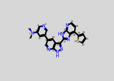 CN(C)c1cncc(-c2cnc3[nH]nc(-c4nc5c(-c6cccs6)ccnc5[nH]4)c3c2)c1